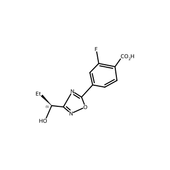 CC[C@H](O)c1noc(-c2ccc(C(=O)O)c(F)c2)n1